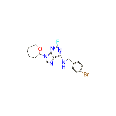 Fc1nc(NCc2ccc(Br)cc2)c2ncn(C3CCCCCO3)c2n1